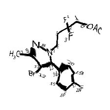 CC(=O)OCC(F)(F)CCn1nc(C)c(Br)c1-c1ccc(F)cc1